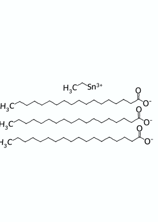 CCCCCCCCCCCCCCCCCC(=O)[O-].CCCCCCCCCCCCCCCCCC(=O)[O-].CCCCCCCCCCCCCCCCCC(=O)[O-].C[CH2][Sn+3]